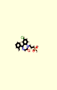 Cc1ccccc1C1=NCC(=O)N(CCCS(C)(=O)=O)c2ccc(Cl)cc21